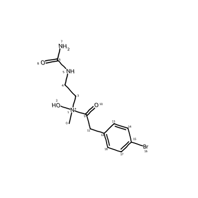 C[N+](O)(CCNC(N)=O)C(=O)Cc1ccc(Br)cc1